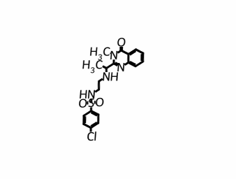 CC(NCCNS(=O)(=O)c1ccc(Cl)cc1)c1nc2ccccc2c(=O)n1C